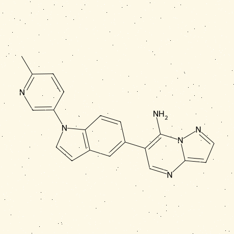 Cc1ccc(-n2ccc3cc(-c4cnc5ccnn5c4N)ccc32)cn1